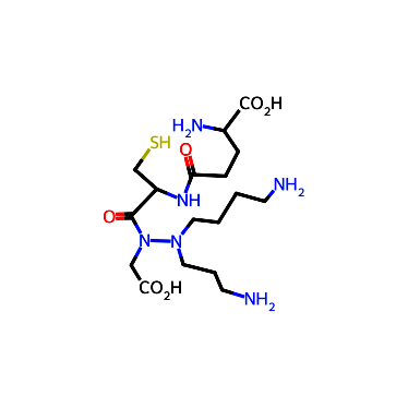 NCCCCN(CCCN)N(CC(=O)O)C(=O)C(CS)NC(=O)CCC(N)C(=O)O